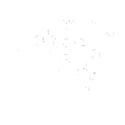 CCCCCCCCc1ccc(C(=O)NC(CC(=O)NC)C(=O)N(C)C2C(=O)NC(C)C(=O)NC(C(=O)NCC#N)Cc3ccc(OCCN)c(c3)-c3cc2ccc3OCCN)c(C)c1